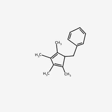 CC1=C(C)C(C)=C(C)[C]1Cc1ccccc1